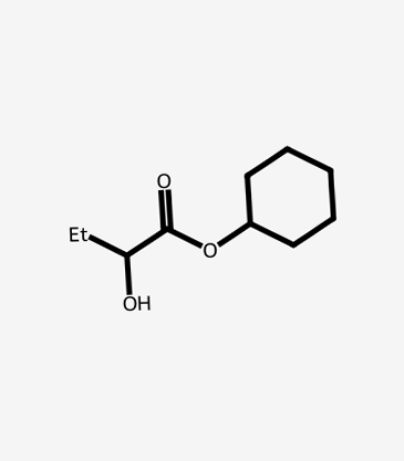 CCC(O)C(=O)OC1CCCCC1